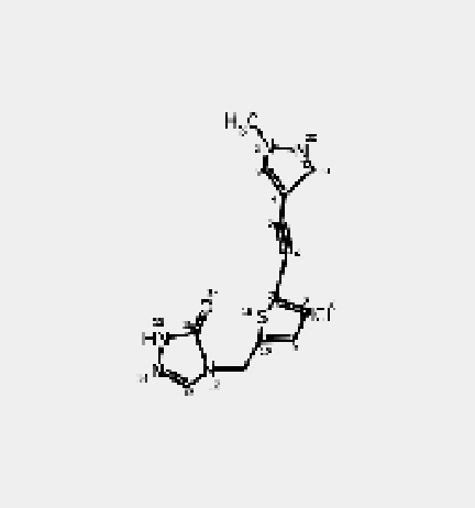 Cl.Cn1cc(C#Cc2ccc(Cn3cn[nH]c3=O)s2)cn1